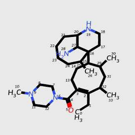 CC/C1=C(\C(=O)N2CCN(C)CC2)CCC(C23CCNC(CCCCC2C)C3N)C(C)CC1C